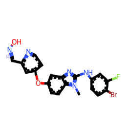 Cn1c(Nc2ccc(Br)c(F)c2)nc2cc(Oc3ccnc(/C=N\O)c3)ccc21